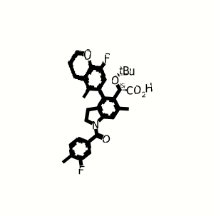 Cc1ccc(C(=O)N2CCc3c2cc(C)c([C@H](OC(C)(C)C)C(=O)O)c3-c2cc(F)c3c(c2C)CCCO3)cc1F